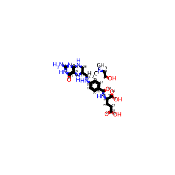 CN(C)CCO.Nc1nc2c(c(=O)[nH]1)NC(CNc1ccc(C(=O)NC(CCC(=O)O)C(=O)O)cc1)CN2